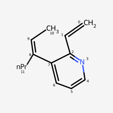 C=Cc1ncccc1/C(=C\C)CCC